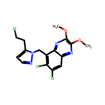 COc1nc2cc(Cl)c(Cl)c(Cn3nccc3CCCl)c2nc1OC